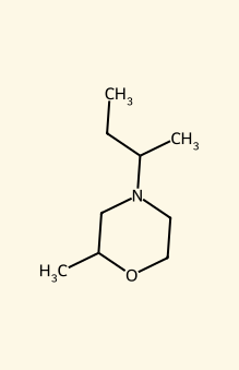 CCC(C)N1CCOC(C)C1